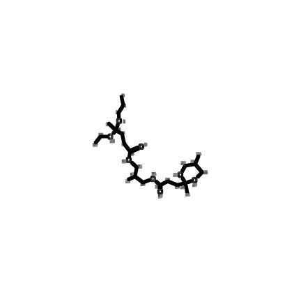 CCCOC(C)(CCC(=O)OCC(C)COC(=O)CCC1(C)OCC(C)CO1)OCC